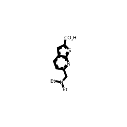 CCN(CC)Cc1ccc2cc(C(=O)O)sc2n1